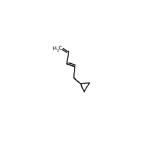 C=CC=CCC1[CH]C1